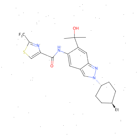 CC[C@H]1CC[C@H](n2cc3cc(NC(=O)c4csc(C(F)(F)F)n4)c(C(C)(C)O)cc3n2)CC1